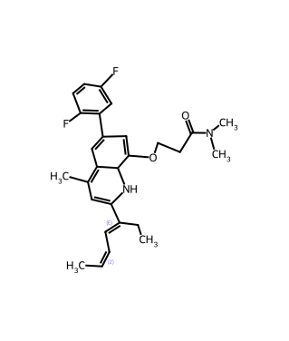 C/C=C\C=C(/CC)C1=CC(C)=C2C=C(c3cc(F)ccc3F)C=C(OCCC(=O)N(C)C)C2N1